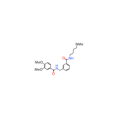 CNCCCCNC(=O)c1cccc(CNC(=O)c2ccc(OC)c(OC)c2)c1